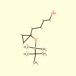 CC(C)(C)[Si](C)(C)OC1(CCCCO)CC1